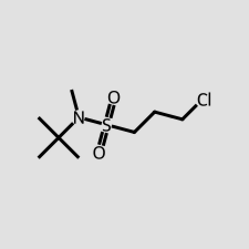 CN(C(C)(C)C)S(=O)(=O)CCCCl